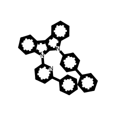 c1ccc(-c2ccc(-n3c4ccccc4c4c5ccccc5n(-c5cccc(-c6ccccc6)n5)c43)cc2)cc1